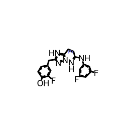 N=C(/C=C\c1nnc(Cc2ccc(O)c(F)c2)[nH]1)Nc1cc(F)cc(F)c1